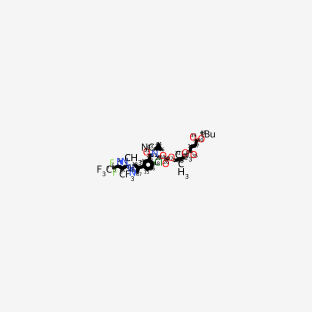 Cn1nc(C(F)(F)C(F)(F)F)c(C(F)(F)F)c1-n1cc(-c2ccc(Cl)c(C(=O)N(COC(=O)OCC(C)(C)COC(=O)/C=C/C(=O)OC(C)(C)C)C3(C#N)CC3)c2)cn1